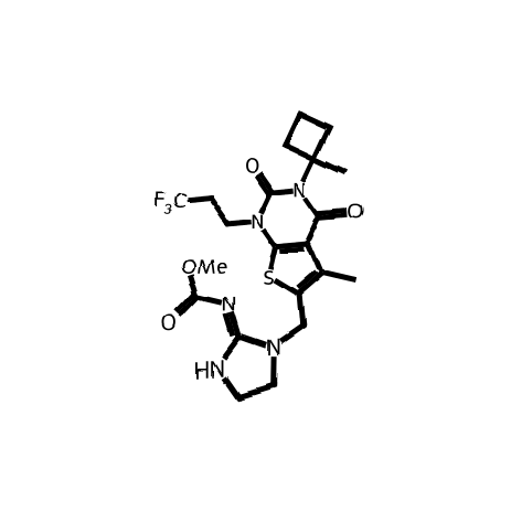 COC(=O)/N=C1\NCCN1Cc1sc2c(c1C)c(=O)n(C1(C)CCC1)c(=O)n2CCC(F)(F)F